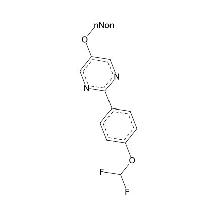 CCCCCCCCCOc1cnc(-c2ccc(OC(F)F)cc2)nc1